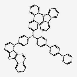 c1ccc(-c2ccc(-c3ccc(N(c4ccc(-c5ccccc5-n5c6ccccc6c6ccccc65)cc4)c4ccc(-c5cccc6oc7c8ccccc8ccc7c56)cc4)cc3)cc2)cc1